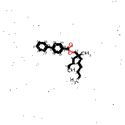 CCCCCCC(C)(CCCC)COC(=O)c1ccc(-c2ccccc2)cc1